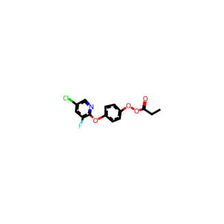 CCC(=O)OOc1ccc(Oc2ncc(Cl)cc2F)cc1